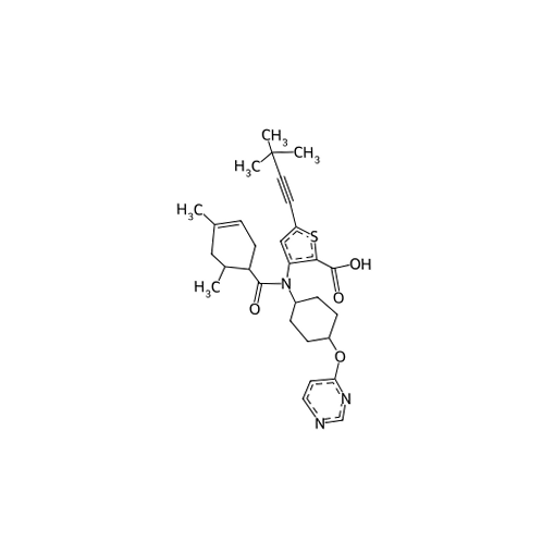 CC1=CCC(C(=O)N(c2cc(C#CC(C)(C)C)sc2C(=O)O)C2CCC(Oc3ccncn3)CC2)C(C)C1